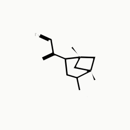 CCOC(=O)C1CC(C(=O)C=N)[C@H]2C[C@@H]1C2